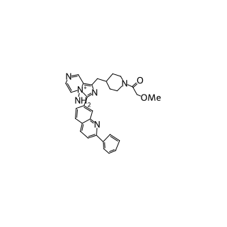 COCC(=O)N1CCC(CC2=C3C=NC=C[N+]3(N)C(c3ccc4ccc(-c5ccccc5)nc4c3)=N2)CC1